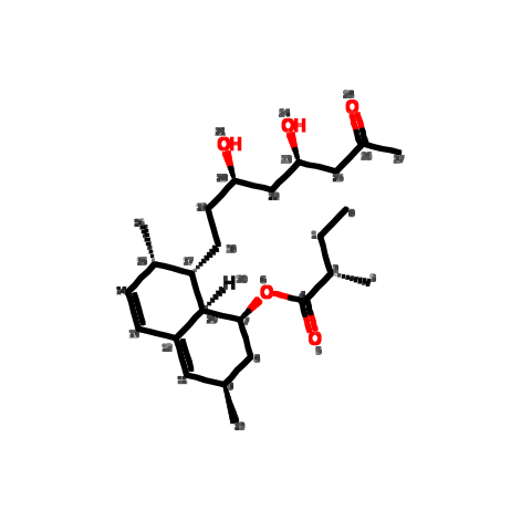 CC[C@H](C)C(=O)O[C@H]1C[C@@H](C)C=C2C=C[C@H](C)[C@H](CC[C@@H](O)C[C@@H](O)CC(C)=O)[C@H]21